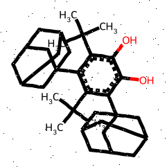 CC(C)(C)c1c(O)c(O)c(C23CC4CC(CC(C4)C2)C3)c(C(C)(C)C)c1C12CC3CC(CC(C3)C1)C2